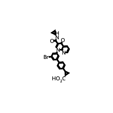 O=C(NC1CC1)c1cn(-c2cc(Br)cc(-c3ccc(C4C[C@H]4C(=O)O)cc3)c2)c2ncccc2c1=O